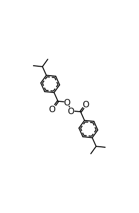 CC(C)c1ccc(C(=O)OOC(=O)c2ccc(C(C)C)cc2)cc1